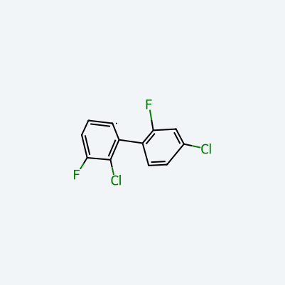 Fc1cc(Cl)ccc1-c1[c]ccc(F)c1Cl